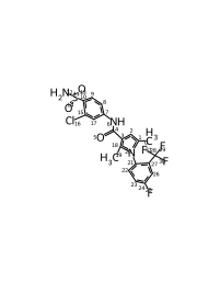 Cc1cc(C(=O)Nc2ccc(S(N)(=O)=O)c(Cl)c2)c(C)n1-c1ccc(F)cc1C(F)(F)F